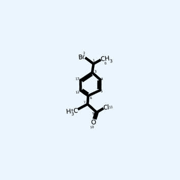 CC(Br)c1ccc(C(C)C(=O)Cl)cc1